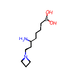 NC(CCCCB(O)O)CCN1CCC1